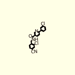 N#Cc1ccc(CNC(=O)c2ccc(-c3cccc(Cl)c3)nc2)c(Cl)c1